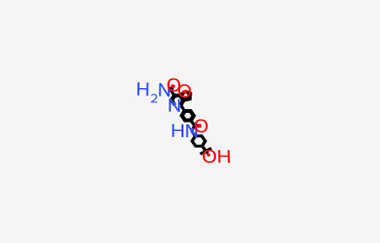 CC(C)(O)C1CCC(NC(=O)c2ccc(-c3ncc(C(N)=O)c4occc34)cc2)CC1